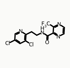 O=C(NCCc1ncc(Cl)cc1Cl)c1nccnc1C(F)(F)F